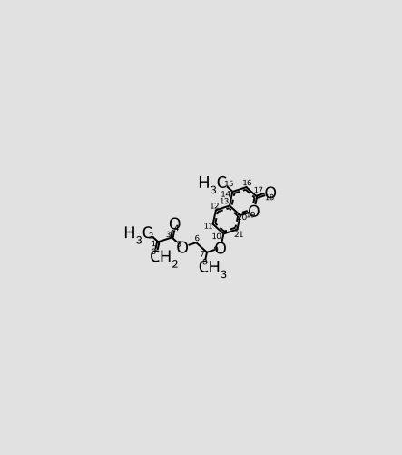 C=C(C)C(=O)OCC(C)Oc1ccc2c(C)cc(=O)oc2c1